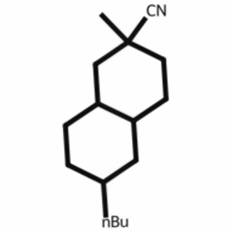 CCCCC1CCC2CC(C)(C#N)CCC2C1